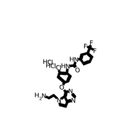 Cl.Cl.NCCn1ccc2ncnc(Oc3ccc(NC(=O)Nc4cccc(C(F)(F)F)c4)c(Cl)c3)c21